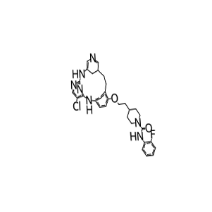 O=C(Nc1ccccc1F)N1CCC(CCOc2ccc3cc2CCC2C=NC=C(C2)Nc2ncc(Cl)c(n2)N3)CC1